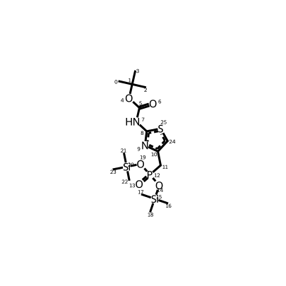 CC(C)(C)OC(=O)Nc1nc(CP(=O)(O[Si](C)(C)C)O[Si](C)(C)C)cs1